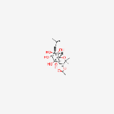 C=C(C)C#C[C@@]1(O)[C@@H](O)[C@H](O)[C@]2(O)C[C@@H](OC(C)=O)C(C)(C)O[C@H]2[C@@H]1O